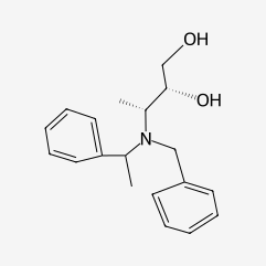 CC(c1ccccc1)N(Cc1ccccc1)[C@H](C)[C@@H](O)CO